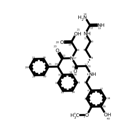 COc1cc(CN[C@@H](CCCNC(=N)N)C(=O)N(CC(=O)O)C(=O)C(c2ccccc2)c2ccccc2)ccc1O